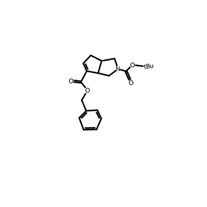 CC(C)(C)OC(=O)N1CC2CC=C(C(=O)OCc3ccccc3)C2C1